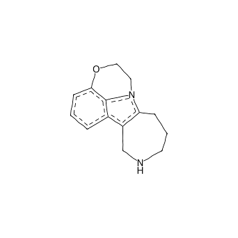 c1cc2c3c(c1)c1c(n3CCO2)CCCNC1